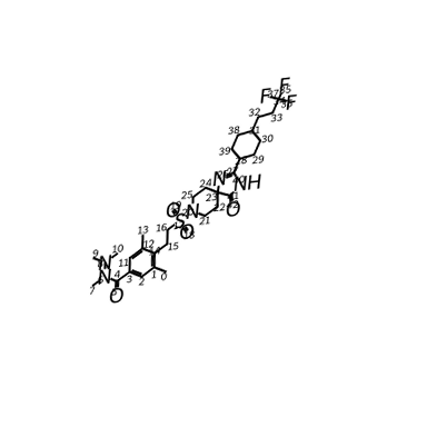 Cc1cc(C(=O)N(C)N(C)C)cc(C)c1CCS(=O)(=O)N1CCC2(CC1)N=C(C1CCC(CCC(F)(F)F)CC1)NC2=O